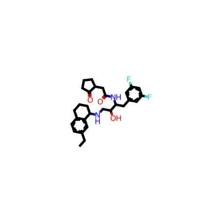 CCc1ccc2c(c1)C(NCC(O)C(Cc1cc(F)cc(F)c1)NC(=O)CC1CCCC1=O)CCC2